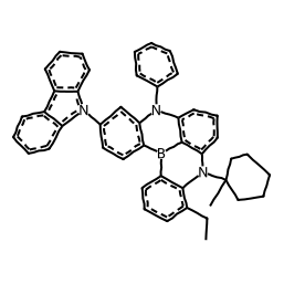 CCc1cccc2c1N(C1(C)CCCCC1)c1cccc3c1B2c1ccc(-n2c4ccccc4c4ccccc42)cc1N3c1ccccc1